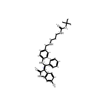 CC(C)(C)OC(=O)NCCCNCc1ccc(N/C(=C2\C(=O)Nc3cc(Cl)ccc32)c2ccccc2)cc1